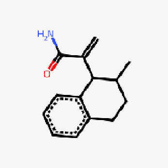 C=C(C(N)=O)C1c2ccccc2CCC1C